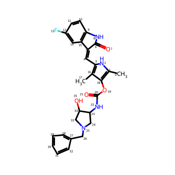 Cc1[nH]c(/C=C2\C(=O)Nc3ccc(F)cc32)c(C)c1OC(=O)NC1CN(Cc2ccccc2)CC1O